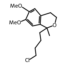 COc1cc2c(cc1OC)C(C)(CCCCCl)OCC2